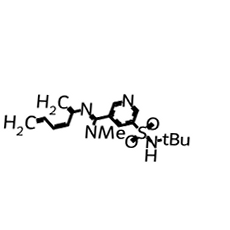 C=C/C=C\C(=C)/N=C(\NC)c1cncc(S(=O)(=O)NC(C)(C)C)c1